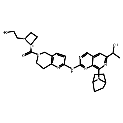 CC(O)c1cc2cnc(Nc3ccc4c(n3)CCN(C(=O)[C@@H]3CCN3CCO)C4)nc2c(N2C3CCC2CC3)n1